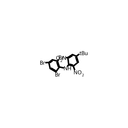 CC(C)(C)c1cc([N+](=O)[O-])c(Nc2c(Br)cc(Br)cc2Br)c([N+](=O)[O-])c1